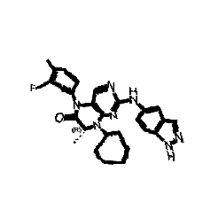 Cc1ccc(N2C(=O)[C@@H](C)N(C3CCCCC3)c3nc(Nc4ccc5[nH]ncc5c4)ncc32)cc1F